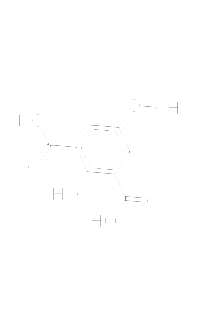 COc1cc(C(=O)O)c(O)c(C(=O)O)c1